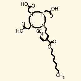 CCCCCCCCOC(=O)c1cc[n+]([O-])c(CN2CCN(CC(=O)O)CCN(CC(=O)O)CCN(CC(=O)O)CC2)c1